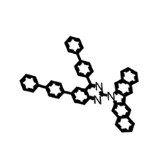 c1ccc(-c2ccc(-c3ccc4nc(-n5c6cc7ccccc7cc6c6cc7ccccc7cc65)nc(-c5ccc(-c6ccccc6)cc5)c4c3)cc2)cc1